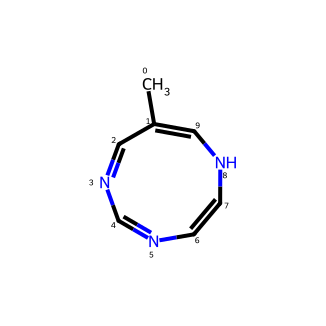 Cc1cncncc[nH]c1